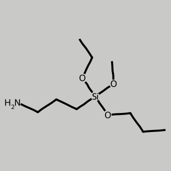 CCCO[Si](CCCN)(OC)OCC